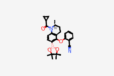 C[C@H]1CCc2c(ccc(B3OC(C)(C)C(C)(C)O3)c2Oc2ccccc2C#N)N1C(=O)C1CC1